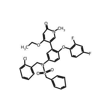 CCOc1cc(=O)n(C)cc1-c1cc(N(Cc2ccccc2Cl)S(=O)(=O)Cc2ccccc2)ccc1Oc1ccc(F)cc1F